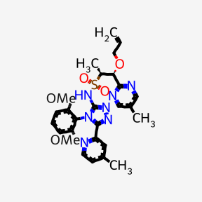 C=CCO[C@H](c1ncc(C)cn1)[C@H](C)S(=O)(=O)Nc1nnc(-c2cc(C)ccn2)n1-c1c(OC)cccc1OC